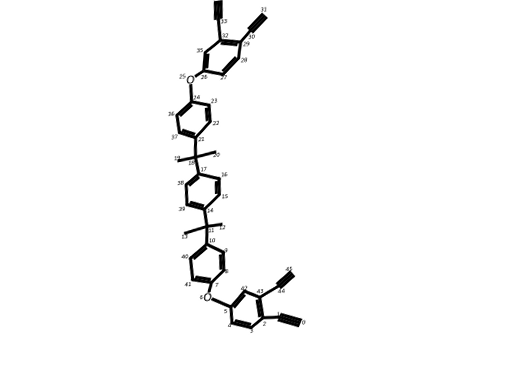 C#Cc1ccc(Oc2ccc(C(C)(C)c3ccc(C(C)(C)c4ccc(Oc5ccc(C#C)c(C#C)c5)cc4)cc3)cc2)cc1C#C